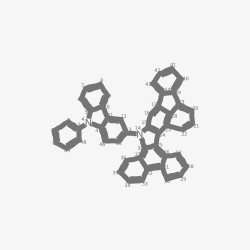 c1ccc(-n2c3ccccc3c3cc(-n4c5cc6c7c(cccc7c5c5c7ccccc7c7ccccc7c54)-c4ccccc4-6)ccc32)cc1